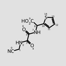 N#CCNC(=O)C(=O)NC(C(=O)O)c1cccs1